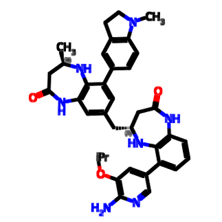 CC(C)Oc1cc(-c2cccc3c2N[C@H](Cc2cc4c(c(-c5ccc6c(c5)CCN6C)c2)N[C@H](C)CC(=O)N4)CC(=O)N3)cnc1N